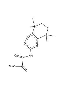 COC(=O)C(=O)Nc1ccc2c(c1)C(C)(C)CCC2(C)C